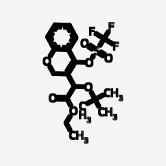 CCOC(=O)C(OC(C)(C)C)C1=C(OS(=O)(=O)C(F)(F)F)c2ccccc2OC1